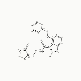 Cc1sc2cccc(OCc3ccccc3)c2c1C(=O)NCCN1CCOC1=O